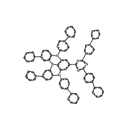 c1ccc(-c2ccc(-c3nc(-c4ccc(-c5ccccc5)cc4)nc(-c4cc5c6c(c4)N(c4ccc(-c7ccccc7)cc4)c4ccc(-c7ccccc7)cc4B6c4cc(-c6ccccc6)ccc4N5c4ccc(-c5ccccc5)cc4)n3)cc2)cc1